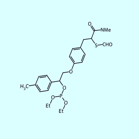 CCOP(OCC)OC(COc1ccc(CC(SC=O)C(=O)NC)cc1)c1ccc(C)cc1